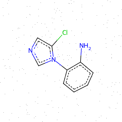 Nc1ccccc1-n1cncc1Cl